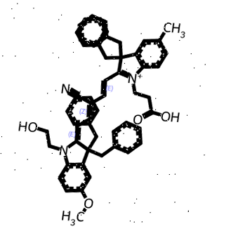 COc1ccc2c(c1)C(Cc1ccccc1)(Cc1ccccc1)\C(=C/C=C(C#N)/C=C/C1=[N+](CCC(=O)O)c3ccc(C)cc3C1(Cc1ccccc1)Cc1ccccc1)N2CCO